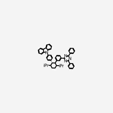 CC(C)C1CCC(C(C)C)[C@H](c2ccc(-n3c4ccccc4c4ccccc43)cc2)C1c1cccc(-c2nc(-c3ccccc3)nc(-c3ccccc3)n2)c1